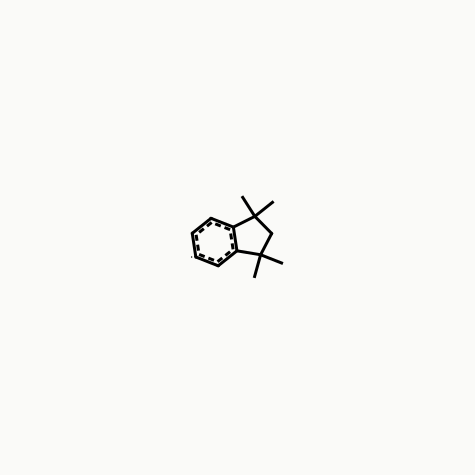 CC1(C)CC(C)(C)c2cc[c]cc21